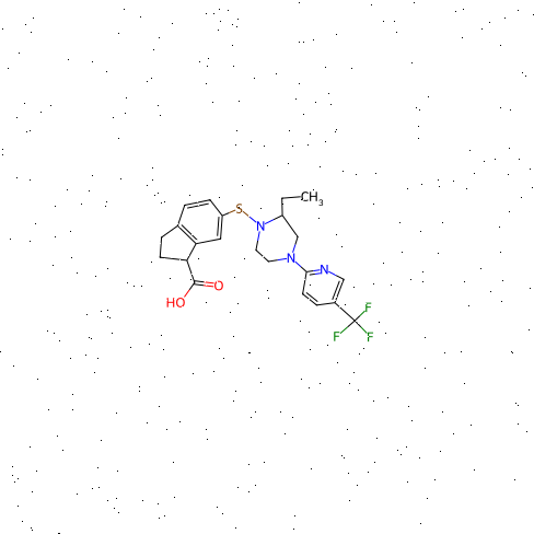 CCC1CN(c2ccc(C(F)(F)F)cn2)CCN1Sc1ccc2c(c1)C(C(=O)O)CC2